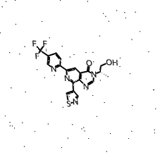 C[C@@H](CO)n1cnc2c(-c3cnsc3)nc(-c3ccc(C(F)(F)F)cn3)cc2c1=O